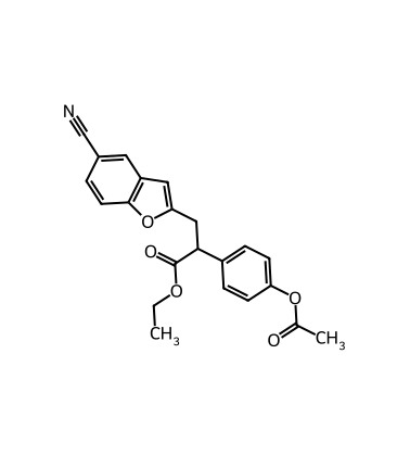 CCOC(=O)C(Cc1cc2cc(C#N)ccc2o1)c1ccc(OC(C)=O)cc1